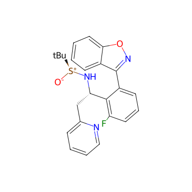 CC(C)(C)[S@+]([O-])N[C@@H](Cc1ccccn1)c1c(F)cccc1-c1noc2ccccc12